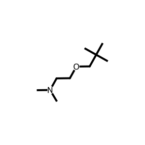 CN(C)CCOCC(C)(C)C